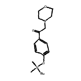 CC(C)(C)[Si](C)(C)Oc1ccc(C(=O)CN2CCOCC2)cc1